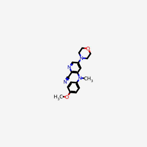 COc1ccc(N(C)c2cc(N3CCOCC3)cnc2C#N)cc1